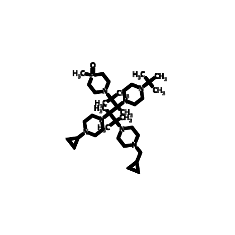 CC(C)(C)N1CCN(C(C)(C(C)(C)N2CCP(C)(=O)CC2)C(C)(N2CCN(C3CC3)CC2)C(C)(C)N2CCN(CC3CC3)CC2)CC1